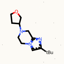 CC(C)(C)c1cn2c(n1)CN(C1CCOC1)CC2